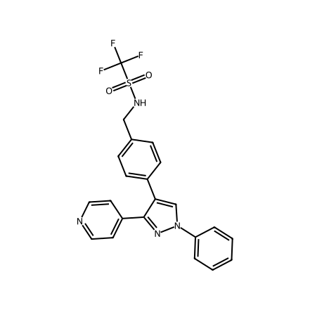 O=S(=O)(NCc1ccc(-c2cn(-c3ccccc3)nc2-c2ccncc2)cc1)C(F)(F)F